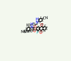 COC(CNc1ccc(C#N)cc1)Oc1cc2c(c(F)c1OC(CNc1ccc(C#N)cc1)OC)C(=O)c1ccccc1C2=O